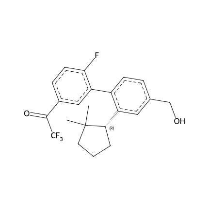 CC1(C)CCC[C@H]1c1cc(CO)ccc1-c1cc(C(=O)C(F)(F)F)ccc1F